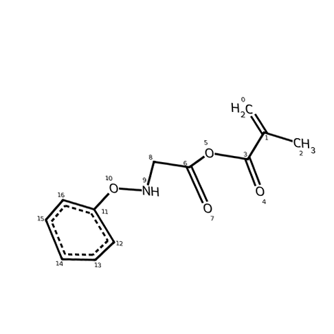 C=C(C)C(=O)OC(=O)CNOc1ccccc1